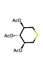 CC(=O)O[C@@H]1[C@@H](OC(C)=O)CSC[C@H]1OC(C)=O